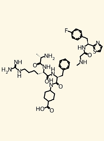 CNCC(=O)N[C@@H](Cc1ccc(F)cc1)c1nccs1.C[C@H](N)C(=O)N[C@@H](CCCCNC(=N)N)C(=O)N[C@@H](Cc1ccccc1)C(=O)NC1CCC(C(=O)O)CC1